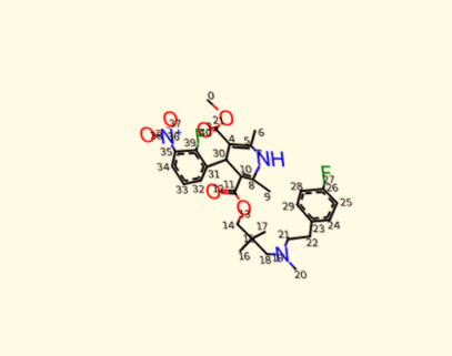 COC(=O)C1=C(C)NC(C)=C(C(=O)OCC(C)(C)CN(C)CCc2ccc(F)cc2)C1c1cccc([N+](=O)[O-])c1F